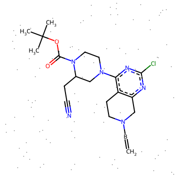 C=BN1CCc2c(nc(Cl)nc2N2CCN(C(=O)OC(C)(C)C)C(CC#N)C2)C1